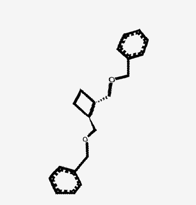 c1ccc(COC[C@H]2CC[C@@H]2COCc2ccccc2)cc1